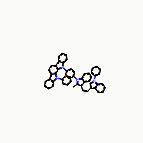 Cc1c(/C=C\c2cn(-c3ccccc3)c3ccccc23)c2ccccc2n1-c1ccc(-n2c3ccccc3c3ccc4c5ccccc5n(-c5ccccc5)c4c32)cc1